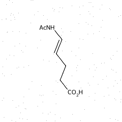 CC(=O)NC=CCCC(=O)O